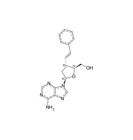 Nc1ncnc2c1ncn2[C@H]1C[C@H](C=Cc2ccccc2)[C@@H](CO)O1